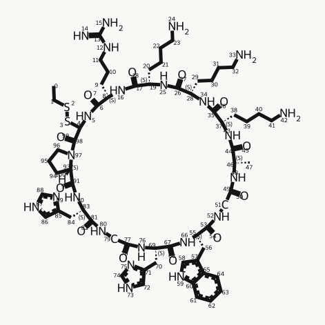 CCSSC1NC(=O)[C@H](CCCNC(=N)N)NC(=O)[C@H](CCCCN)NC(=O)[C@H](CCCCN)NC(=O)[C@H](CCCCN)NC(=O)[C@H](C)NC(=O)CNC(=O)[C@H](Cc2c[nH]c3ccccc23)NC(=O)[C@H](Cc2c[nH]cn2)NC(=O)CNC(=O)[C@H](Cc2c[nH]cn2)NC(=O)[C@@H]2CCCN2C1=O